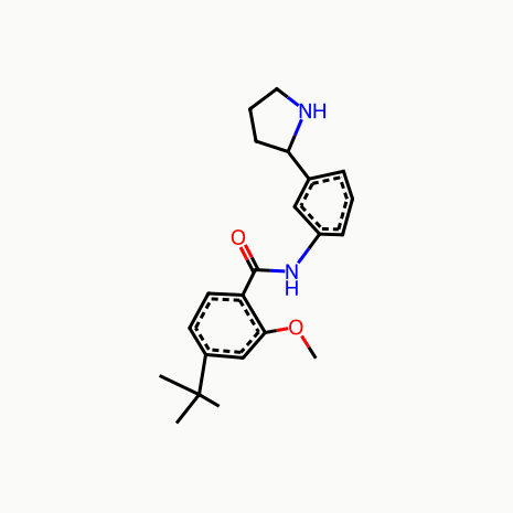 COc1cc(C(C)(C)C)ccc1C(=O)Nc1cccc(C2CCCN2)c1